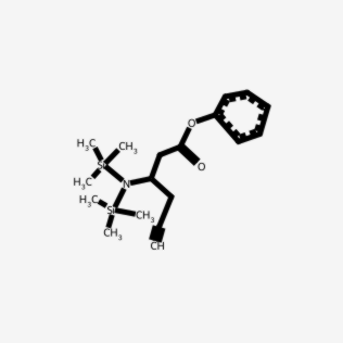 C#CCC(CC(=O)Oc1ccccc1)N([Si](C)(C)C)[Si](C)(C)C